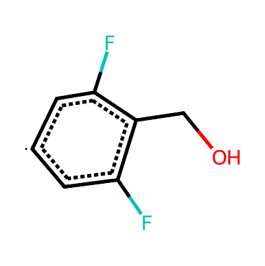 OCc1c(F)c[c]cc1F